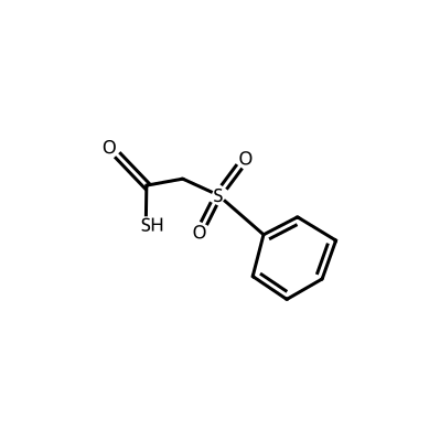 O=C(S)CS(=O)(=O)c1ccccc1